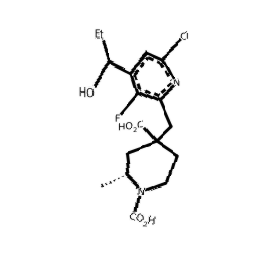 CCC(O)c1cc(Cl)nc(CC2(C(=O)O)CCN(C(=O)O)[C@H](C)C2)c1F